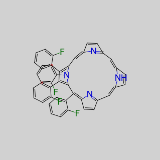 Fc1ccccc1-c1c(-c2ccccc2F)c2c(-c3ccccc3F)c3nc(cc4ccc(cc5nc(cc1n2-c1ccccc1F)C=C5)[nH]4)C=C3